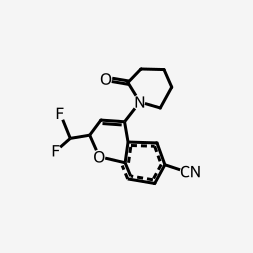 N#Cc1ccc2c(c1)C(N1CCCCC1=O)=CC(C(F)F)O2